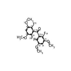 COc1cc(OC)c(F)c(C(=O)c2c(F)c(OC)cc(OC)c2F)c1F